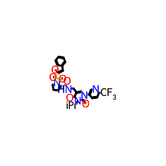 CC(C)n1c(=O)c(CNC(=O)[C@@H]2CCCN2S(=O)(=O)c2cc3ccccc3o2)cn(-c2ccc(C(F)(F)F)nc2)c1=O